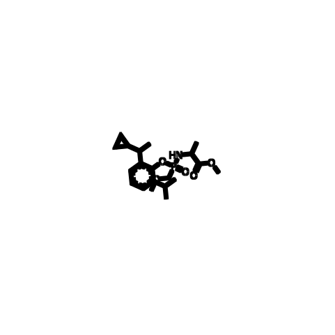 COCP(=O)(NC(C)C(=O)OC)Oc1c(C(C)C)cccc1C(C)C1CC1